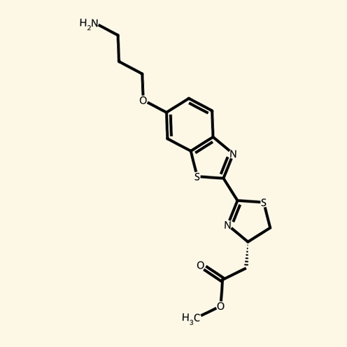 COC(=O)C[C@H]1CSC(c2nc3ccc(OCCCN)cc3s2)=N1